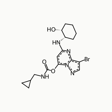 O=C(NCC1CC1)Oc1cc(N[C@H]2CCCC[C@H]2O)nc2c(Br)cnn12